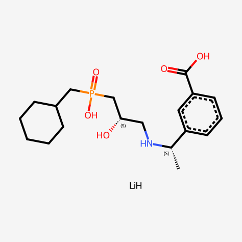 C[C@H](NC[C@H](O)CP(=O)(O)CC1CCCCC1)c1cccc(C(=O)O)c1.[LiH]